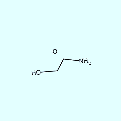 NCCO.[O]